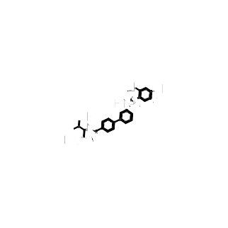 CC(C)C(NC(=O)c1ccc(-c2cccc(NS(=O)(=O)c3cc(Cl)c(Cl)cc3Cl)c2)cc1)C(=O)O